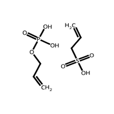 C=CCOP(=O)(O)O.C=CCS(=O)(=O)O